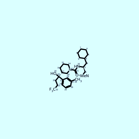 CNC[C@H](CC1CCCCC1)NC(=O)N1CCC[C@@H](C(O)(CCC(F)(F)F)c2cccc(C)c2)C1